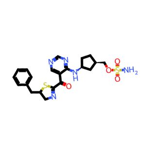 NS(=O)(=O)OC[C@@H]1CC[C@H](Nc2ncncc2C(=O)C2=NCC(Cc3ccccc3)S2)C1